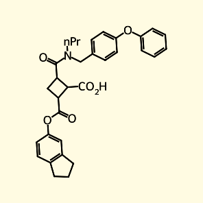 CCCN(Cc1ccc(Oc2ccccc2)cc1)C(=O)C1CC(C(=O)Oc2ccc3c(c2)CCC3)C1C(=O)O